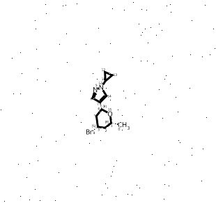 C[C@@H]1C[C@H](Br)C[C@H](c2cnn(C3CC3)c2)O1